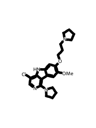 COc1cc2c(cc1OCCCN1CCCC1)[nH]c1c(Cl)cnc(N3CCCC3)c12